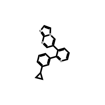 c1cc(-c2ncccc2-c2cnc3nccn3c2)cc(C2CC2)c1